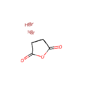 Br.Br.O=C1CCC(=O)O1